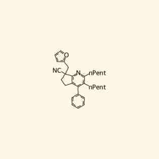 CCCCCc1nc2c(c(-c3ccccc3)c1CCCCC)CCC2(C#N)Cc1ccco1